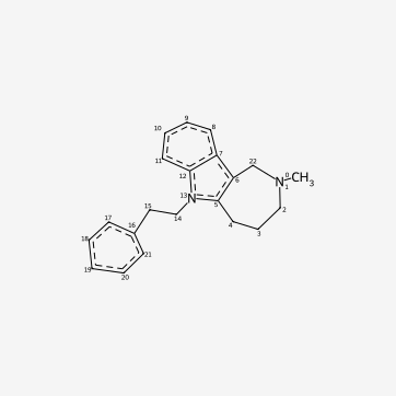 CN1CCCc2c(c3ccccc3n2CCc2ccccc2)C1